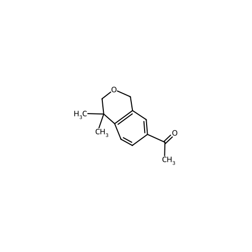 CC(=O)c1ccc2c(c1)COCC2(C)C